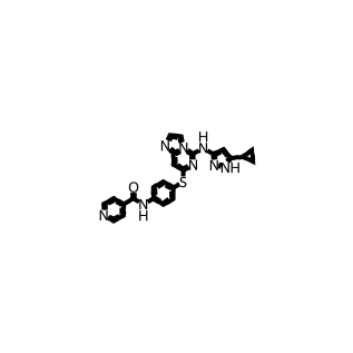 O=C(Nc1ccc(Sc2cc3nccn3c(Nc3cc(C4CC4)[nH]n3)n2)cc1)c1ccncc1